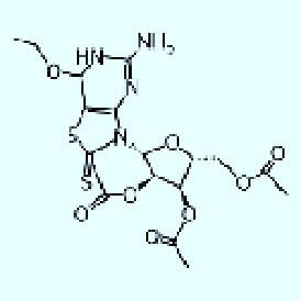 CCOC1NC(N)=Nc2c1sc(=S)n2[C@@H]1O[C@H](COC(C)=O)[C@@H](OC(C)=O)[C@H]1OC(C)=O